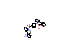 C/N=C1\CCCC12CCN(C(=O)c1ccc(NC(=O)c3ccccc3-c3ccccc3)cc1)c1ccccc1C2